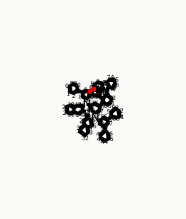 c1ccc(-c2cc(-c3ccccc3)cc(N3c4cc5ccccc5cc4B4c5cc6ccccc6cc5N(c5cc(-c6ccccc6)cc(-c6ccccc6)c5)c5cc(-c6cccc7c6c6ccccc6n7-c6ccccc6)cc3c54)c2)cc1